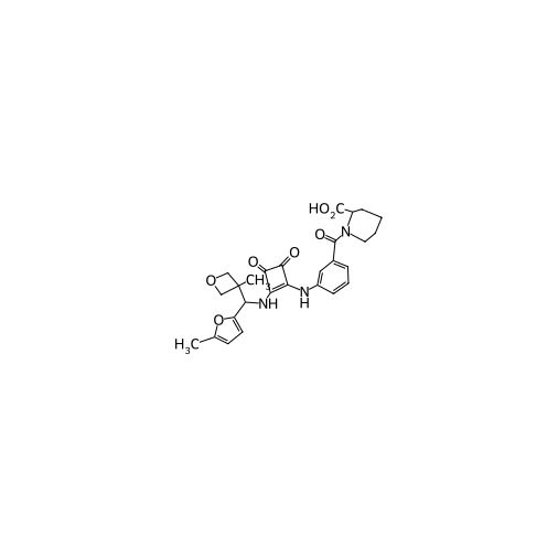 Cc1ccc(C(Nc2c(Nc3cccc(C(=O)N4CCCCC4C(=O)O)c3)c(=O)c2=O)C2(C)COC2)o1